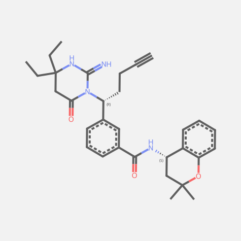 C#CCC[C@H](c1cccc(C(=O)N[C@H]2CC(C)(C)Oc3ccccc32)c1)N1C(=N)NC(CC)(CC)CC1=O